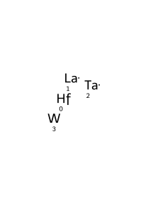 [Hf].[La].[Ta].[W]